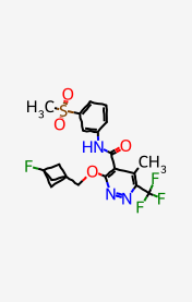 Cc1c(C(F)(F)F)nnc(OCC23CC(F)(C2)C3)c1C(=O)Nc1cccc(S(C)(=O)=O)c1